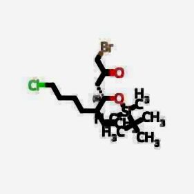 C=CC(CCCCCl)[C@H](CC(=O)CBr)O[Si](C)(C)C(C)(C)C